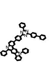 c1ccc(-c2ccc(-c3nc(-c4ccccc4)nc(-c4ccc(-c5ccc6nc(-c7ccccc7)c7cc8c9ccccc9n(-c9ccccc9)c8cc7c6c5)cc4)n3)cc2)cc1